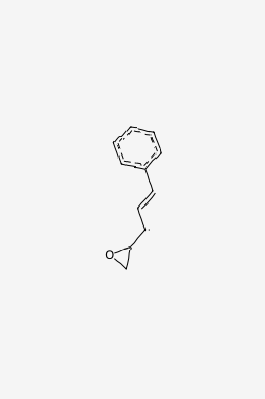 [CH](C=Cc1ccccc1)C1CO1